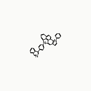 c1ccc(-n2ccc3cc4c5c(ccc6cccc(c65)n4-c4ccc(-c5cncc6ccccc56)cc4)c32)cc1